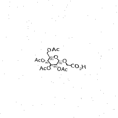 CC(=O)OC[C@H]1O[C@H](OCC(=O)O)[C@H](OC(C)=O)[C@@H](OC(C)=O)[C@@H]1OC(C)=O